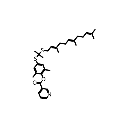 CC(C)=CCC/C(C)=C/CC/C(C)=C/CSC(C)(C)Sc1cc(C)c(OC(=O)c2cccnc2)c(C)c1